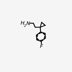 NCCC1(c2ccc(F)cc2)CC1